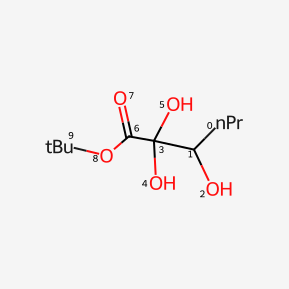 CCCC(O)C(O)(O)C(=O)OC(C)(C)C